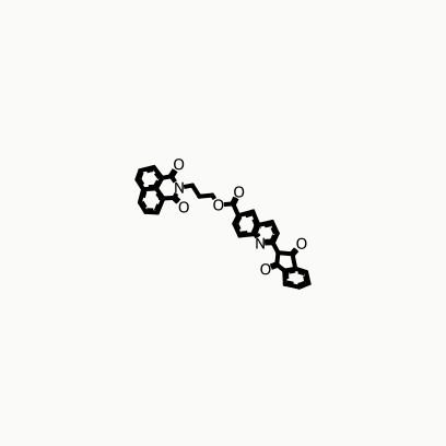 O=C(OCCCN1C(=O)c2cccc3cccc(c23)C1=O)c1ccc2nc(C3C(=O)c4ccccc4C3=O)ccc2c1